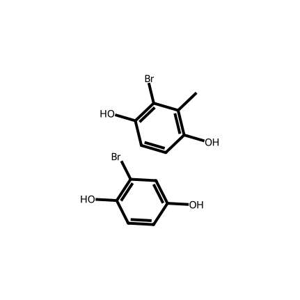 Cc1c(O)ccc(O)c1Br.Oc1ccc(O)c(Br)c1